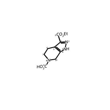 CCOC(=O)c1n[nH]c2c1CCN(C(=O)O)C2